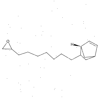 C1=C[C@@H]2CC1CC2CCCCCCCC1CO1